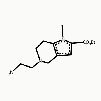 CCOC(=O)c1cc2c(n1C)CCN(CCN)C2